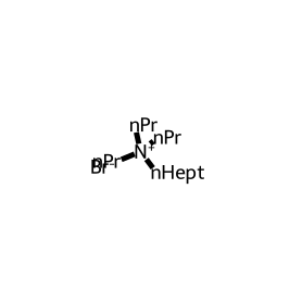 CCCCCCC[N+](CCC)(CCC)CCC.[Br-]